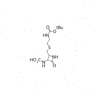 CC(C)(C)OC(=O)NCCSCC1NC(=O)C1NC(=O)O